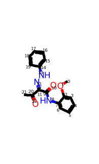 COc1ccccc1NC(=O)/C(=N\Nc1ccccc1)C(C)=O